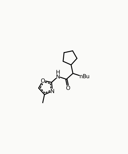 CCCCC(C(=O)Nc1nc(C)co1)C1CCCC1